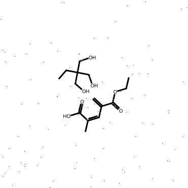 C=C(C=C(C)C(=O)O)C(=O)OCC.CCC(CO)(CO)CO